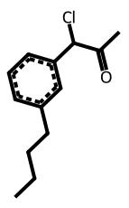 CCCCc1cccc(C(Cl)C(C)=O)c1